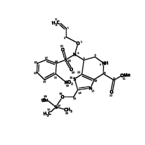 C=CCON(C1CNC(C(=O)OC)c2nc(CO[Si](C)(C)C(C)(C)C)sc21)S(=O)(=O)c1ccccc1[N+](=O)[O-]